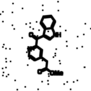 COC(=O)Cc1ccnc(C(=O)c2c[nH]c3ccccc23)c1